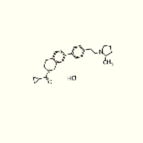 C[C@@H]1CCCN1CCc1ccc(-c2ccc3c(c2)CN(C(=O)C2CC2)CC3)cc1.Cl